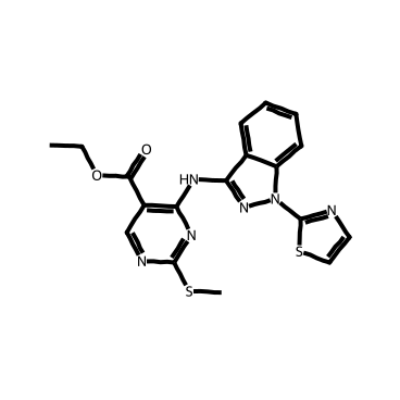 CCOC(=O)c1cnc(SC)nc1Nc1nn(-c2nccs2)c2ccccc12